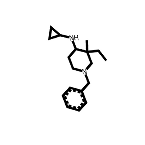 CCC1(C)CN(Cc2ccccc2)CCC1NC1CC1